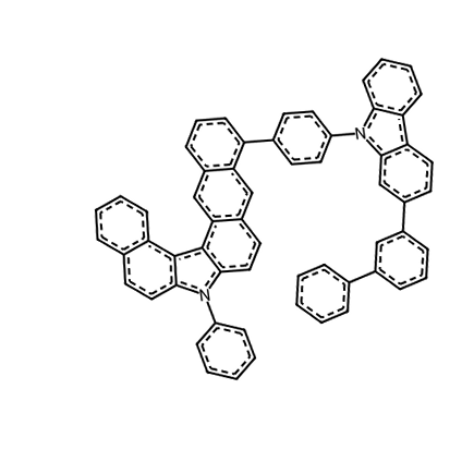 c1ccc(-c2cccc(-c3ccc4c5ccccc5n(-c5ccc(-c6cccc7cc8c(ccc9c8c8c%10ccccc%10ccc8n9-c8ccccc8)cc67)cc5)c4c3)c2)cc1